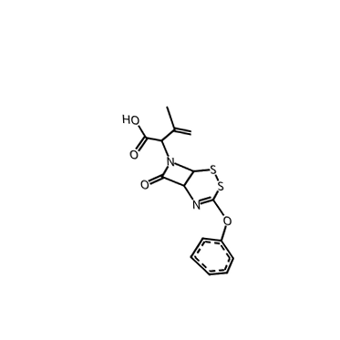 C=C(C)C(C(=O)O)N1C(=O)C2N=C(Oc3ccccc3)SSC21